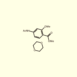 C1COCCO1.COC(=O)c1ccc(NC(C)=O)cc1OC